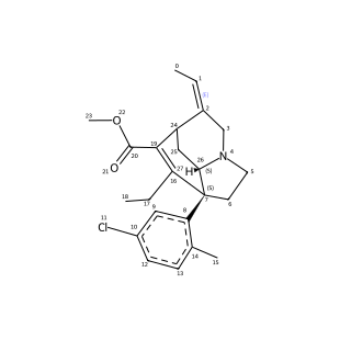 C/C=C1/CN2CC[C@]3(c4cc(Cl)ccc4C)C(CC)=C(C(=O)OC)C1C[C@H]23